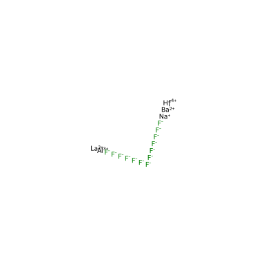 [Al+3].[Ba+2].[F-].[F-].[F-].[F-].[F-].[F-].[F-].[F-].[F-].[F-].[F-].[F-].[F-].[Hf+4].[La+3].[Na+]